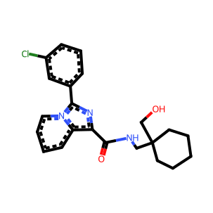 O=C(NCC1(CO)CCCCC1)c1nc(-c2cccc(Cl)c2)n2ccccc12